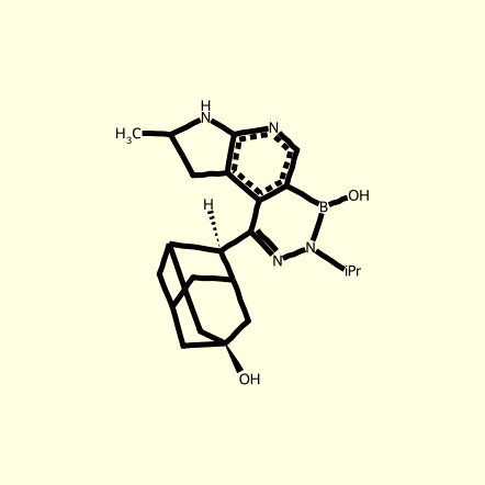 CC1Cc2c(ncc3c2C([C@H]2C4CC5CC2C[C@@](O)(C5)C4)=NN(C(C)C)B3O)N1